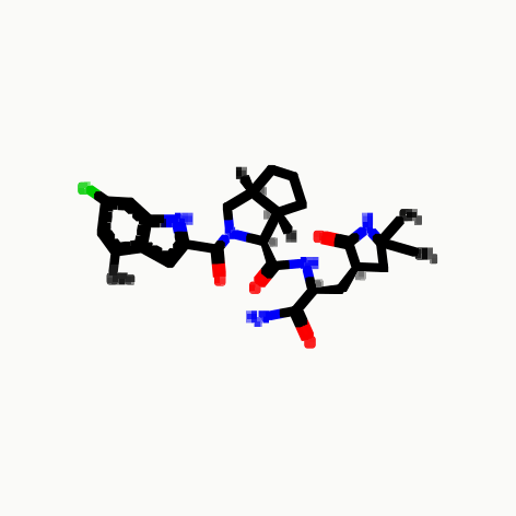 COc1cc(Cl)cc2[nH]c(C(=O)N3C[C@@H]4CCC[C@@H]4[C@H]3C(=O)N[C@@H](C[C@@H]3CC(C)(C)NC3=O)C(N)=O)cc12